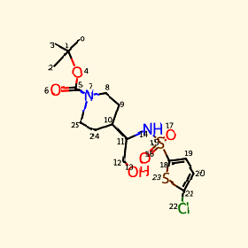 CC(C)(C)OC(=O)N1CCC(C(CO)NS(=O)(=O)c2ccc(Cl)s2)CC1